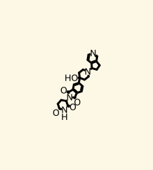 O=C1CCC(N2C(=O)c3ccc(C4(O)CCN(C5CCc6cnccc65)CC4)cc3C2=O)C(=O)N1